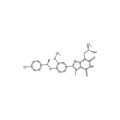 C[C@@H](Oc1ccc(-c2nc3c(c(=O)[nH]c(=O)n3C[C@H](O)C(F)(F)F)n2C)cc1OC(F)(F)F)c1ccc(Cl)cc1